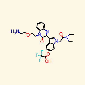 CCN(CC)C(=O)Cn1cc(-c2nc3ccccc3n(CCOCCN)c2=O)c2ccccc21.O=C(O)C(F)(F)F